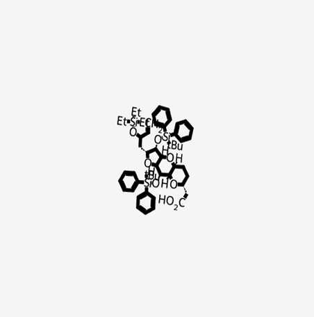 C=CC(C[C@H]1O[C@H]2[C@@H](O[Si](c3ccccc3)(c3ccccc3)C(C)(C)C)[C@H]3O[C@@H](CC(=O)O)CC[C@@H]3O[C@H]2[C@H]1O[Si](c1ccccc1)(c1ccccc1)C(C)(C)C)O[Si](CC)(CC)CC